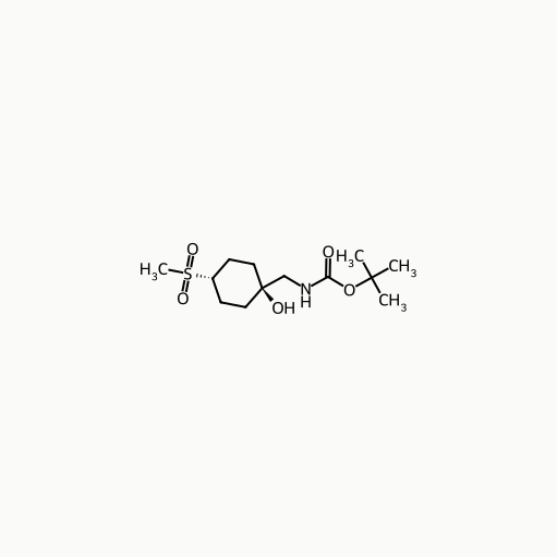 CC(C)(C)OC(=O)NC[C@]1(O)CC[C@H](S(C)(=O)=O)CC1